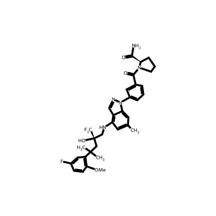 COc1ccc(F)cc1C(C)(C)C[C@](O)(CNc1cc(C)cc2c1cnn2-c1cccc(C(=O)N2CCC[C@@H]2C(N)=O)c1)C(F)(F)F